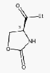 CCC(=O)[C@@H]1COC(=O)N1